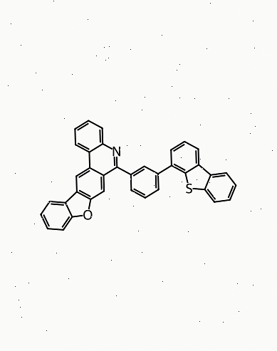 c1cc(-c2nc3ccccc3c3cc4c(cc23)oc2ccccc24)cc(-c2cccc3c2sc2ccccc23)c1